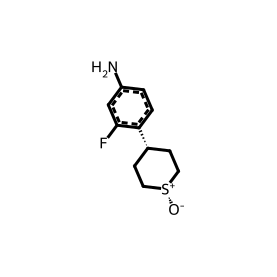 Nc1ccc([C@H]2CC[S@@+]([O-])CC2)c(F)c1